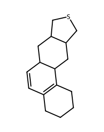 C1=CC2CC3CSCC3CC2C2=C1CCCC2